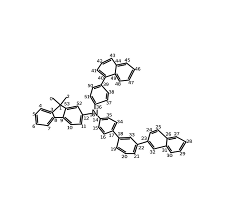 CC1(C)c2ccccc2-c2ccc(N(c3ccc(-c4cccc(-c5ccc6ccccc6c5)c4)cc3)c3ccc(-c4cccc5ccccc45)cc3)cc21